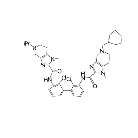 CC(C)N1CCc2c(nc(C(=O)Nc3cccc(-c4cccc(NC(=O)c5nc6c(n5C)CCN(CC5CCCCC5)C6)c4Cl)c3Cl)n2C)C1